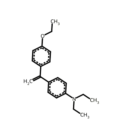 C=C(c1ccc(OCC)cc1)c1ccc(N(CC)CC)cc1